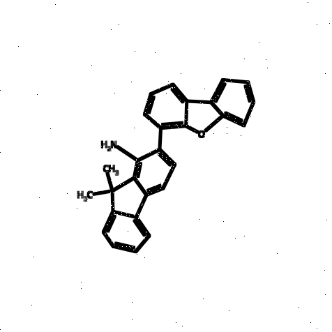 CC1(C)c2ccccc2-c2ccc(-c3cccc4c3oc3ccccc34)c(N)c21